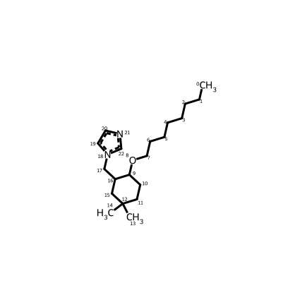 CCCCCCCCOC1CCC(C)(C)CC1Cn1ccnc1